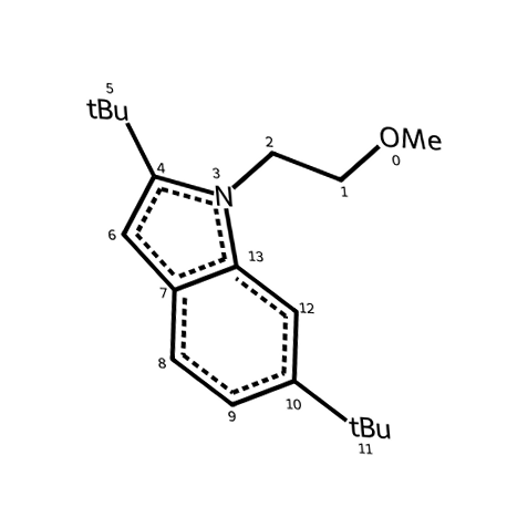 COCCn1c(C(C)(C)C)cc2ccc(C(C)(C)C)cc21